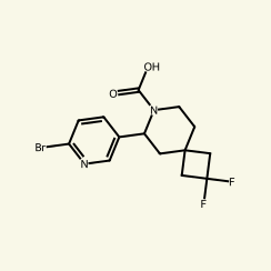 O=C(O)N1CCC2(CC1c1ccc(Br)nc1)CC(F)(F)C2